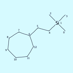 C[Si](C)(C)CCC1CCCCCC1